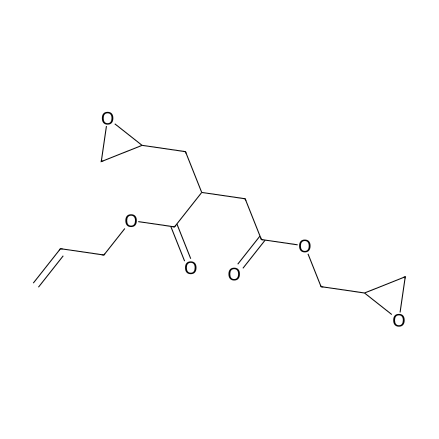 C=CCOC(=O)C(CC(=O)OCC1CO1)CC1CO1